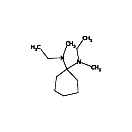 CCN(C)C1(N(C)CC)CCCCC1